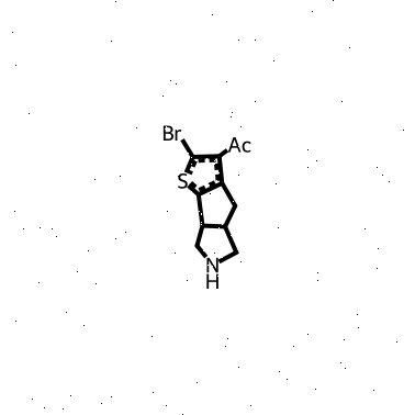 CC(=O)c1c(Br)sc2c1CC1CNCC21